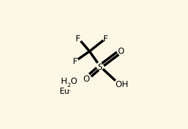 O.O=S(=O)(O)C(F)(F)F.[Eu]